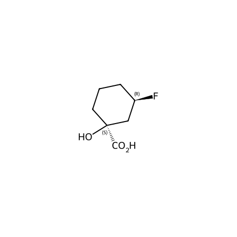 O=C(O)[C@]1(O)CCC[C@@H](F)C1